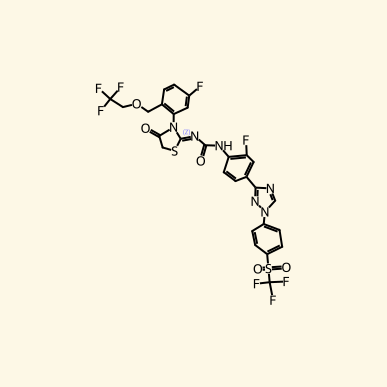 O=C(/N=C1\SCC(=O)N1c1cc(F)ccc1COCC(F)(F)F)Nc1ccc(-c2ncn(-c3ccc(S(=O)(=O)C(F)(F)F)cc3)n2)cc1F